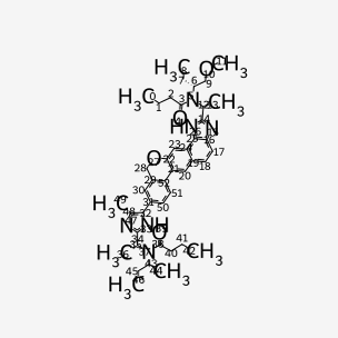 CCCC(=O)N([C@H](CC)COC)[C@@H](C)c1nc2ccc3cc4c(cc3c2[nH]1)OCc1cc(-c2[nH]c([C@H](C)N(C(=O)CCC)[C@@H](C)CC)nc2C)ccc1-4